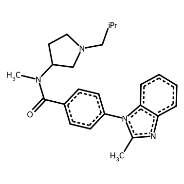 Cc1nc2ccccc2n1-c1ccc(C(=O)N(C)C2CCN(CC(C)C)C2)cc1